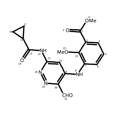 COC(=O)c1cccc(Nc2cc(NC(=O)C3CC3)nnc2C=O)c1OC